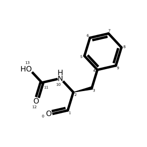 O=C[C@H](Cc1ccccc1)NC(=O)O